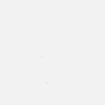 C#C[C@H]1CC[C@@H](C(=O)O)N1C(=O)[C@H](CC=C)NC(=O)OCC1c2ccccc2-c2ccccc21